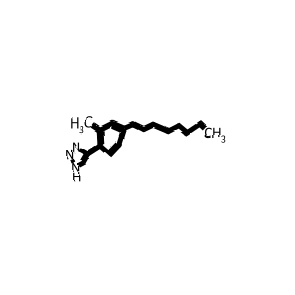 CCCCCCCCc1ccc(-c2c[nH]nn2)c(C)c1